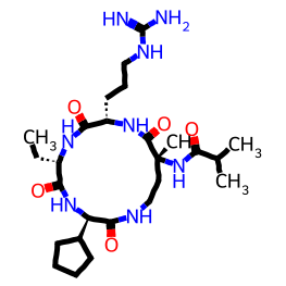 CC[C@@H]1NC(=O)[C@H](CCCNC(=N)N)NC(=O)[C@](C)(NC(=O)C(C)C)CCNC(=O)[C@@H](C2CCCC2)NC1=O